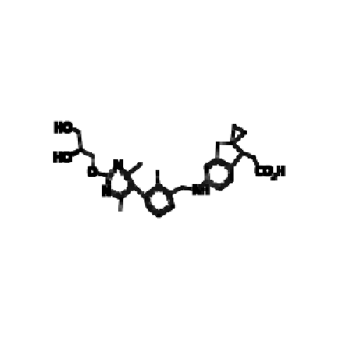 Cc1nc(OC[C@@H](O)CO)nc(C)c1-c1cccc(CNc2ccc3c(c2)CC2(CC2)C3CC(=O)O)c1C